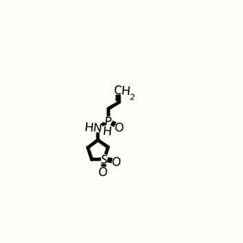 C=CC[PH](=O)NC1CCS(=O)(=O)C1